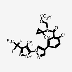 N#CC1(N(COC(=O)O)C(=O)c2cc(-c3cnn(-c4[nH]nc(C(F)(F)C(F)(F)F)c4C(F)(F)F)c3)ccc2Cl)CC1